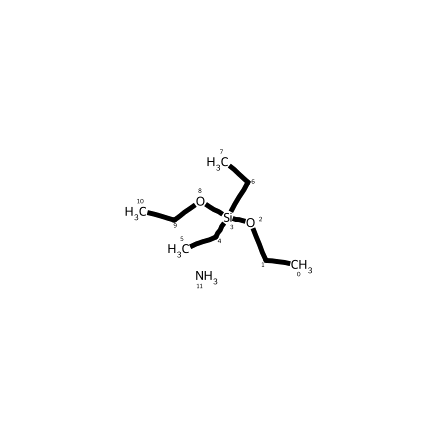 CCO[Si](CC)(CC)OCC.N